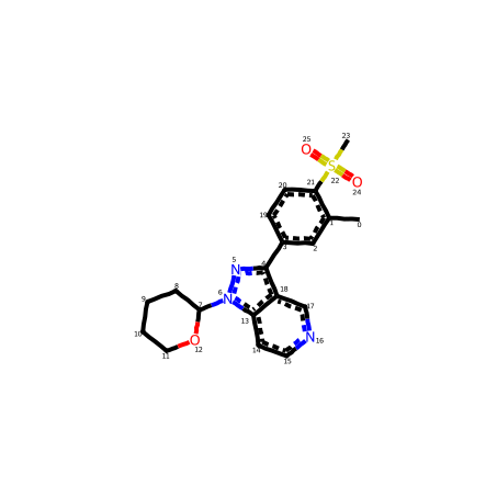 Cc1cc(-c2nn(C3CCCCO3)c3ccncc23)ccc1S(C)(=O)=O